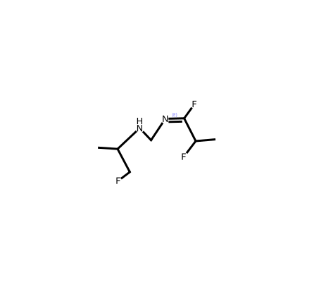 CC(CF)NC/N=C(/F)C(C)F